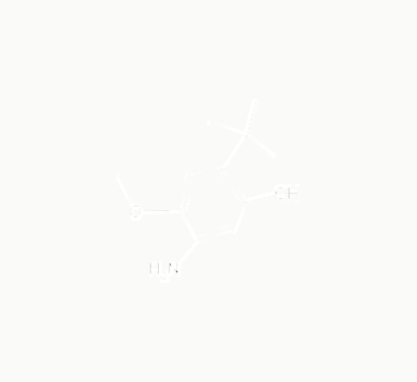 COc1cc(C(C)(C)C)c(O)cc1N